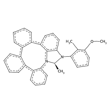 COc1cccc(N2c3cccc4c5ccccc5c5ccccc5c5ccccc5n(c34)[C@@H]2C)c1C